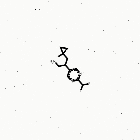 NCC(CC1(F)CC1)c1cnc(C(F)F)nc1